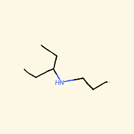 [CH2]CCNC(CC)CC